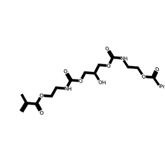 C=C(C)C(=O)OCCNC(=O)OCC(O)COC(=O)NCCOC(=O)C(C)C